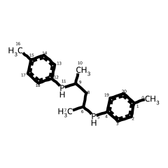 Cc1ccc(PC(C)CC(C)Pc2ccc(C)cc2)cc1